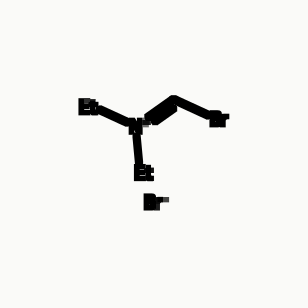 CC[N+](=CBr)CC.[Br-]